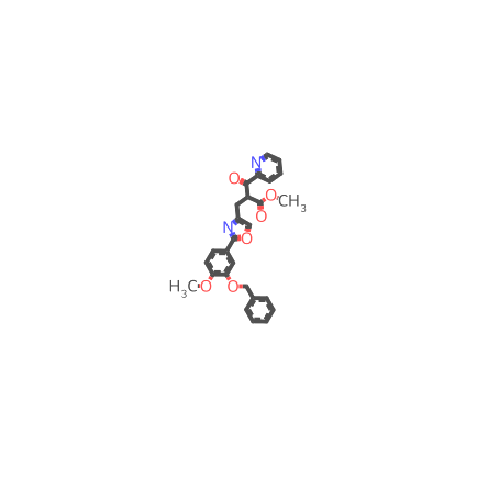 COC(=O)C(Cc1coc(-c2ccc(OC)c(OCc3ccccc3)c2)n1)C(=O)c1ccccn1